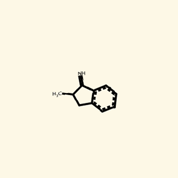 CC1Cc2ccccc2C1=N